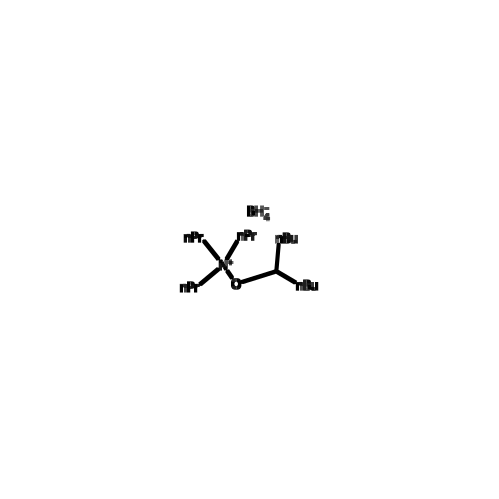 CCCCC(CCCC)O[N+](CCC)(CCC)CCC.[BH4-]